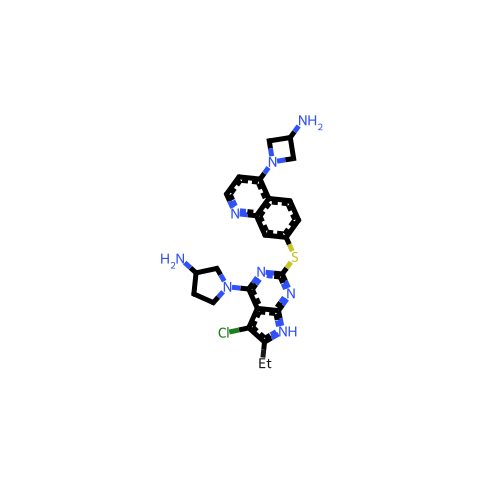 CCc1[nH]c2nc(Sc3ccc4c(N5CC(N)C5)ccnc4c3)nc(N3CCC(N)C3)c2c1Cl